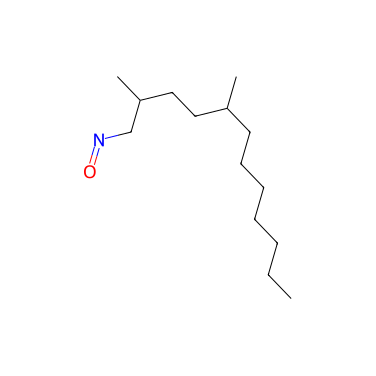 CCCCCCCC(C)CCC(C)CN=O